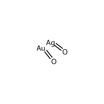 [O]=[Ag].[O]=[Au]